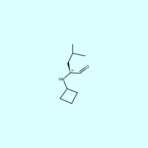 CC(C)C[C@@H](C=O)NC1CCC1